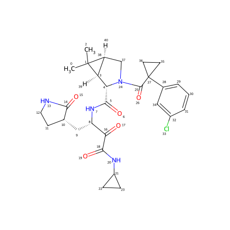 CC1(C)[C@@H]2[C@@H](C(=O)N[C@@H](C[C@@H]3CCNC3=O)C(=O)C(=O)NC3CC3)N(C(=O)C3(c4cccc(Cl)c4)CC3)C[C@@H]21